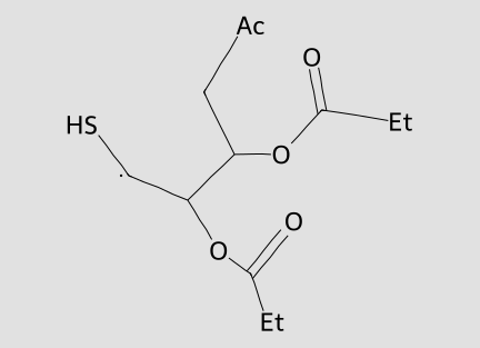 CCC(=O)OC([CH]S)C(CC(C)=O)OC(=O)CC